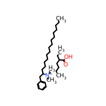 CCCCC(CC)C(=O)O.CCCCCCCCCCCCCCCC(Cc1ccccc1)N(C)C